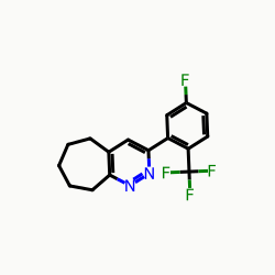 Fc1ccc(C(F)(F)F)c(-c2cc3c(nn2)CCCCC3)c1